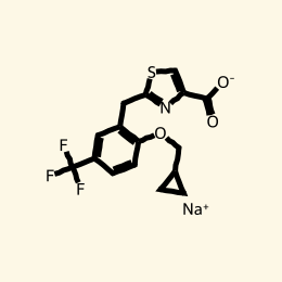 O=C([O-])c1csc(Cc2cc(C(F)(F)F)ccc2OCC2CC2)n1.[Na+]